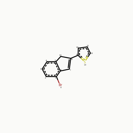 Brc1cccc2c1C=C(c1cccs1)C2